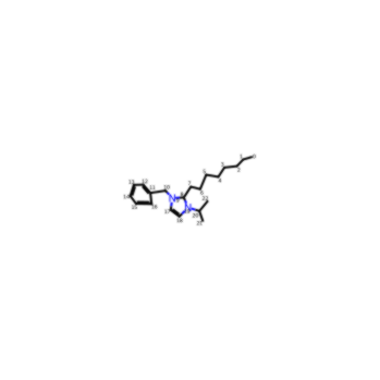 CCCCCCCCC1N(Cc2ccccc2)C=CN1C(C)C